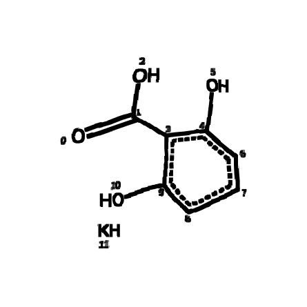 O=C(O)c1c(O)cccc1O.[KH]